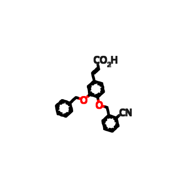 N#Cc1ccccc1COc1ccc(C=CC(=O)O)cc1OCc1ccccc1